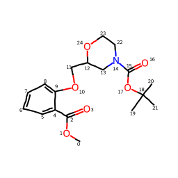 COC(=O)c1ccccc1OCC1CN(C(=O)OC(C)(C)C)CCO1